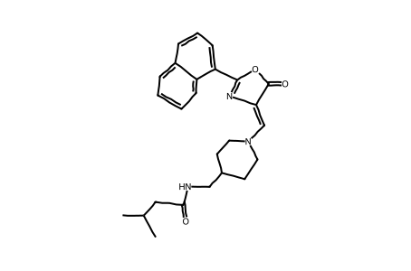 CC(C)CC(=O)NCC1CCN(C=C2N=C(c3cccc4ccccc34)OC2=O)CC1